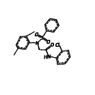 Cc1ccc(C)c(N(CC(=O)Nc2ccccc2Cl)S(=O)(=O)c2ccccc2)c1